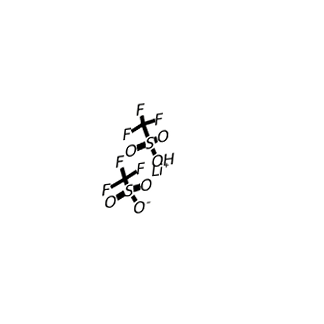 O=S(=O)(O)C(F)(F)F.O=S(=O)([O-])C(F)(F)F.[Li+]